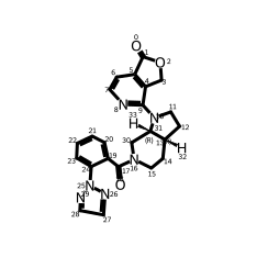 O=C1OCc2c1ccnc2N1CC[C@@H]2CCN(C(=O)c3ccccc3-n3nccn3)C[C@@H]21